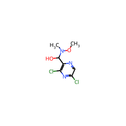 CON(C)C(O)c1ncc(Cl)nc1Cl